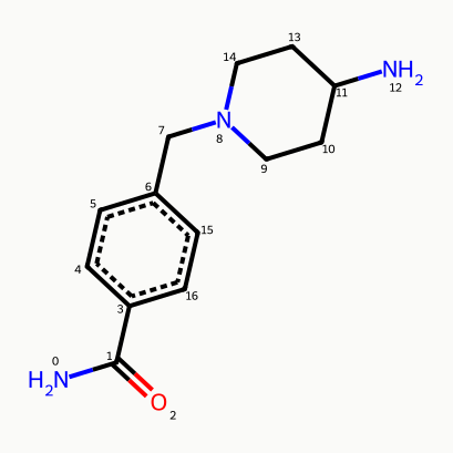 NC(=O)c1ccc(CN2CCC(N)CC2)cc1